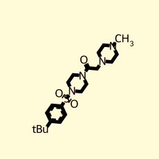 CN1CCN(CC(=O)N2CCN(S(=O)(=O)c3ccc(C(C)(C)C)cc3)CC2)CC1